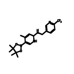 CC1=CC(NCc2ccc(C(F)(F)F)nc2)NC=C1B1OC(C)(C)C(C)(C)O1